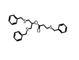 O=C(CCSCc1ccccc1)OC(CSCc1ccccc1)CSCc1ccccc1